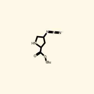 CC(C)(C)OC(=O)C1CC(N=[N+]=[N-])CN1